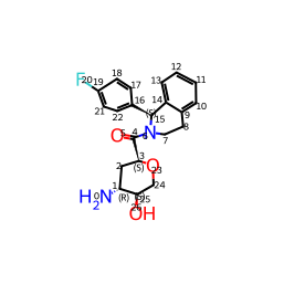 N[C@@H]1C[C@@H](C(=O)N2CCc3ccccc3[C@@H]2c2ccc(F)cc2)OC[C@H]1O